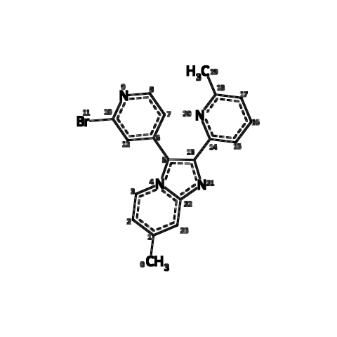 Cc1ccn2c(-c3ccnc(Br)c3)c(-c3cccc(C)n3)nc2c1